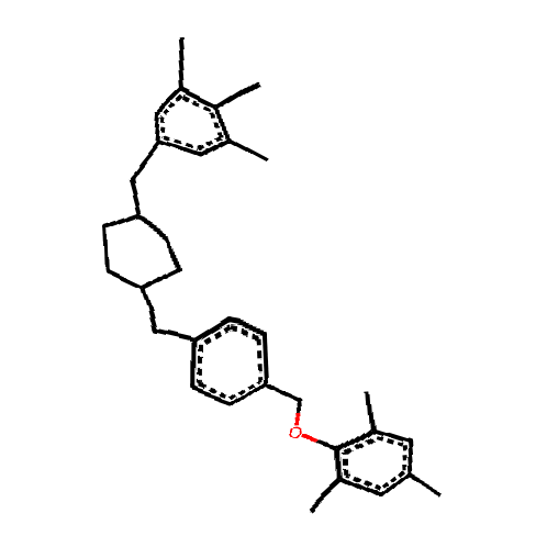 Cc1cc(C)c(OCc2ccc(CC3CCC(Cc4cc(C)c(C)c(C)c4)CC3)cc2)c(C)c1